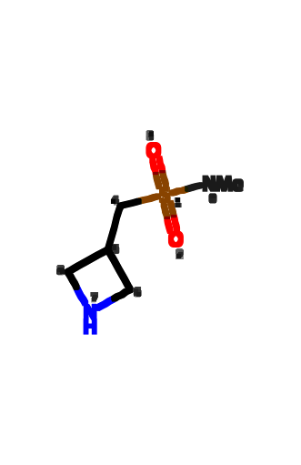 CNS(=O)(=O)CC1CNC1